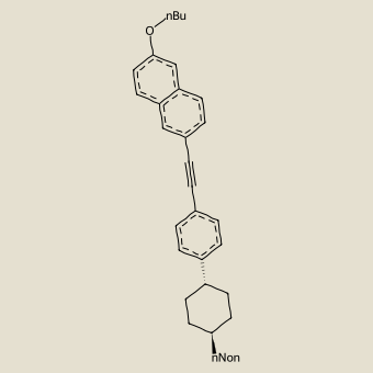 CCCCCCCCC[C@H]1CC[C@H](c2ccc(C#Cc3ccc4cc(OCCCC)ccc4c3)cc2)CC1